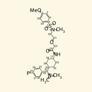 COc1ccc(S(=O)(=O)N(C)CCOCC(=O)NC2CCC(C(c3ccc(F)cc3)N(C)C)CC2)cc1